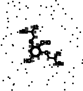 CCCCC(CC)COc1cc(O)cc(OCC(CC)CCCC)c1C=O